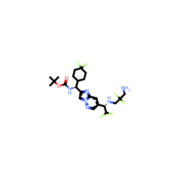 CC(C)(C)OC(=O)N[C@H](c1cn2ncc([C@H](NCC(F)(F)CN)C(F)F)cc2n1)C1CCC(F)(F)CC1